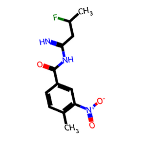 Cc1ccc(C(=O)NC(=N)CC(C)F)cc1[N+](=O)[O-]